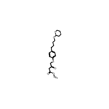 CCCCOC(=O)CC(=O)CSc1ccc(CCCCOC2CCCCO2)cc1